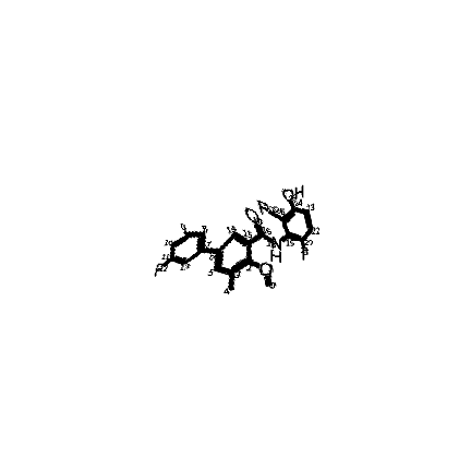 COc1c(C)cc(-c2cccc(F)c2)cc1C(=O)Nc1c(F)ccc(O)c1F